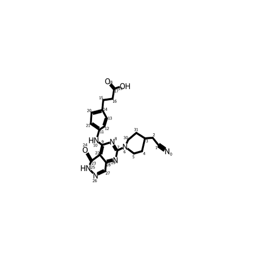 N#CCC1CCN(c2nc(Nc3ccc(CCC(=O)O)cc3)c3c(=O)[nH]ncc3n2)CC1